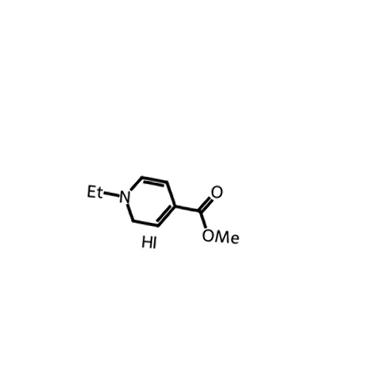 CCN1C=CC(C(=O)OC)=CC1.I